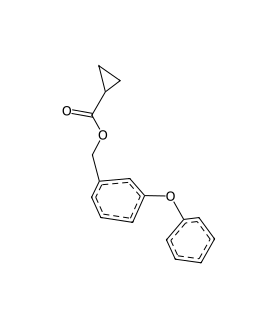 O=C(OCc1cccc(Oc2ccccc2)c1)C1CC1